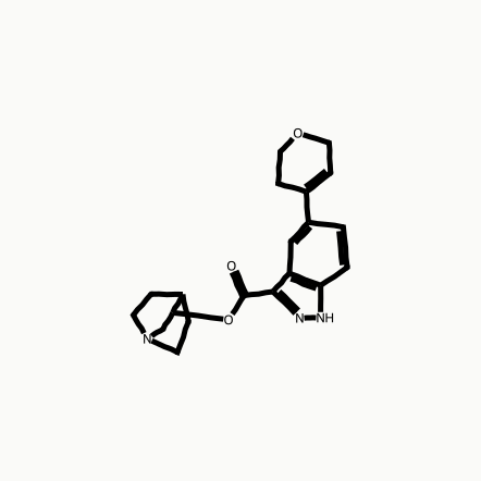 O=C(OC1CN2CCC1CC2)c1n[nH]c2ccc(C3=CCOCC3)cc12